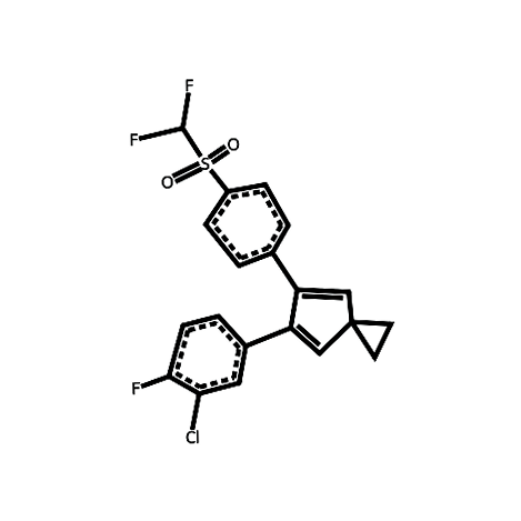 O=S(=O)(c1ccc(C2=CC3(C=C2c2ccc(F)c(Cl)c2)CC3)cc1)C(F)F